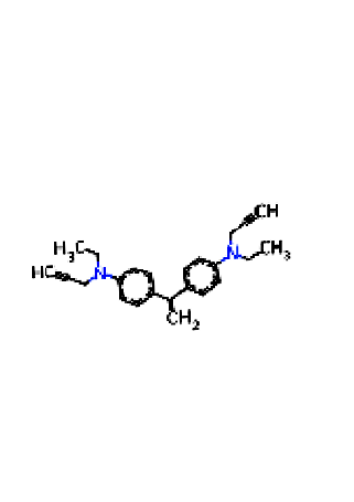 C#CCN(CC)c1ccc(C(=C)c2ccc(N(CC)CC#C)cc2)cc1